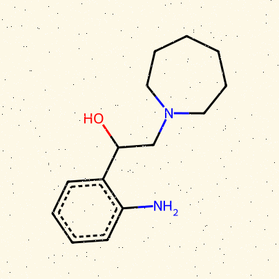 Nc1ccccc1C(O)CN1CCCCCC1